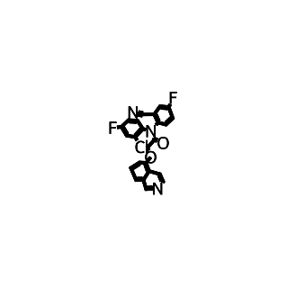 N#Cc1cc(F)ccc1N(C(=O)COc1cccc2cnccc12)c1ccc(F)cc1Cl